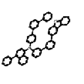 c1ccc(-c2cccc(-c3ccc(N(c4cccc(-c5cccc(-c6ccc7oc8ccccc8c7c6)c5)c4)c4ccc(-c5ccccc5)c5ccccc45)cc3)c2)cc1